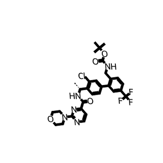 C[C@@H](NC(=O)c1ccnc(N2CCOCC2)n1)c1ccc(-c2cc(C(F)(F)F)ccc2CNC(=O)OC(C)(C)C)cc1Cl